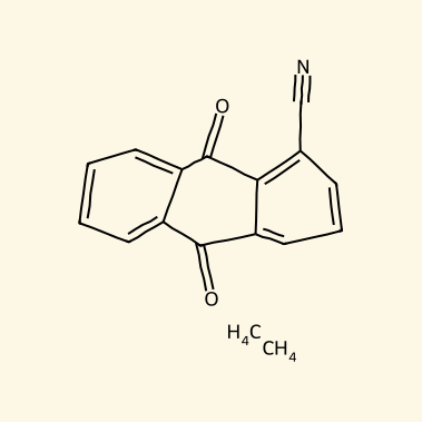 C.C.N#Cc1cccc2c1C(=O)c1ccccc1C2=O